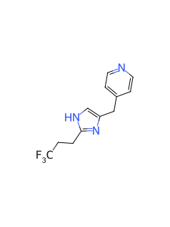 FC(F)(F)CCc1nc(Cc2ccncc2)c[nH]1